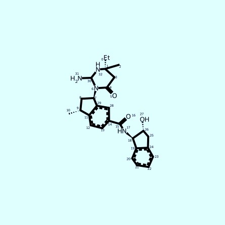 CC[C@]1(C)CC(=O)N([C@@H]2C[C@@H](C)c3ccc(C(=O)N[C@@H]4c5ccccc5C[C@H]4O)cc32)C(N)N1